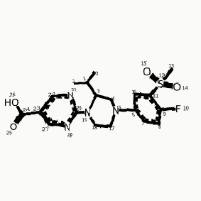 CC(C)C1CN(c2ccc(F)c(S(C)(=O)=O)c2)CCN1c1ncc(C(=O)O)cn1